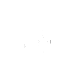 C/C=C(Cl)\C=C(/CC)CBr